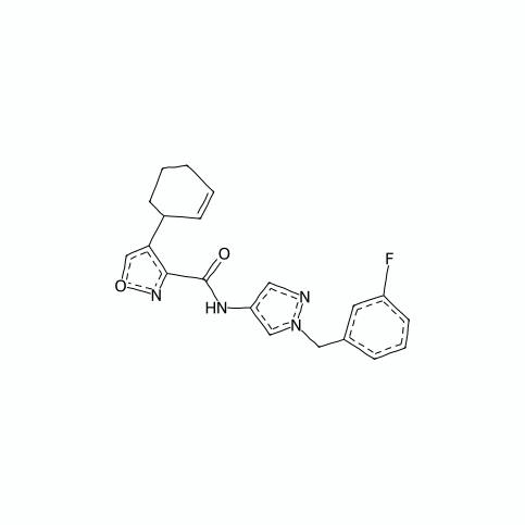 O=C(Nc1cnn(Cc2cccc(F)c2)c1)c1nocc1C1C=CCCC1